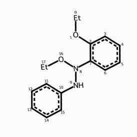 CCOc1ccccc1N(Nc1ccccc1)OCC